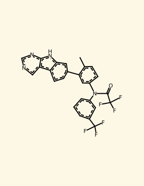 Cc1ccc(N(C(=O)C(F)(F)F)c2cccc(C(F)(F)F)c2)cc1-c1ccc2c(c1)[nH]c1ncncc12